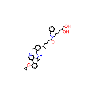 Cc1ccc(C(C)CCCC(=O)N(CCCCC(O)CO)Cc2ccccc2)cc1CNC1(c2cnccc2-c2ccccc2OC2CC2)CC1